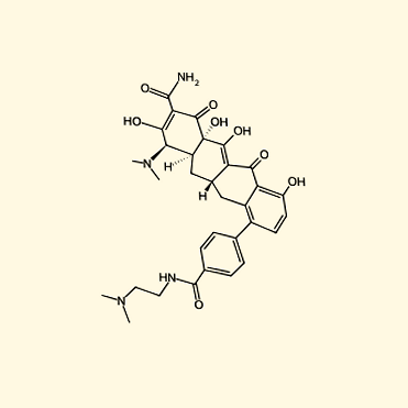 CN(C)CCNC(=O)c1ccc(-c2ccc(O)c3c2C[C@@H]2C[C@H]4[C@@H](N(C)C)C(O)=C(C(N)=O)C(=O)[C@@]4(O)C(O)=C2C3=O)cc1